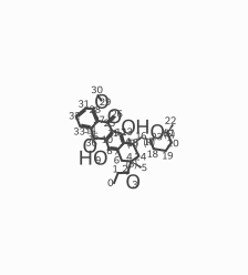 CCC(=O)[C@]1(C)Cc2c(O)c3c(c(O)c2[C@@H](C[C@H]2CCC[C@H](C)O2)C1)C(=O)c1c(OC)cccc1C3=O